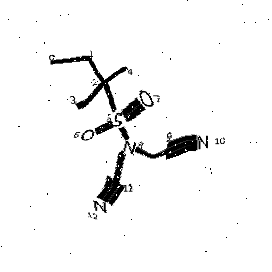 CCC(C)(C)S(=O)(=O)N(C#N)C#N